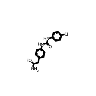 NC(O)Cc1ccc(NC(=O)Nc2ccc(Cl)cc2)cc1